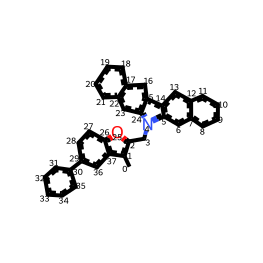 Cc1c(Cn2c3cc4ccccc4cc3c3cc4ccccc4cc32)oc2ccc(-c3ccccc3)cc12